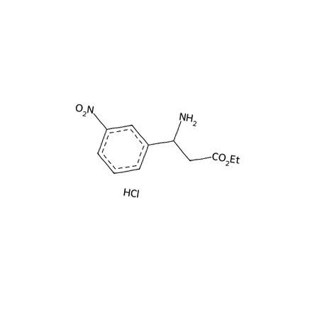 CCOC(=O)CC(N)c1cccc([N+](=O)[O-])c1.Cl